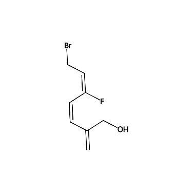 C=C(/C=C\C(F)=C/CBr)CO